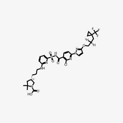 [2H]C([2H])(COc1ccn(-c2ccc(C(=O)NS(=O)(=O)c3cccc(NCCC[C@@H]4CN(C(=O)O)C(C)(C)C4)n3)c(Cl)n2)n1)CC1(C(F)(F)F)CC1